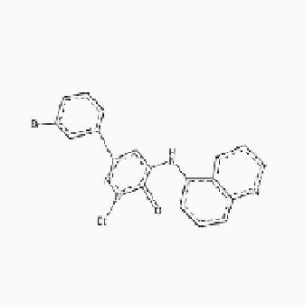 CCn1nc(-c2cccc(Br)c2)cc(Nc2cccc3ncccc23)c1=O